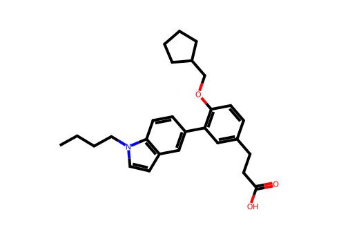 CCCCn1ccc2cc(-c3cc(CCC(=O)O)ccc3OCC3CCCC3)ccc21